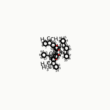 CC1(C)c2ccccc2-c2cc(-c3nc(-c4ccc5c(c4)-c4ccccc4C5(C)C)nc(-n4c5ccccc5c5ccc6c7ccccc7n(-c7cccc(-c8cccc9nc(-c%10ccccc%10)oc89)c7)c6c54)n3)ccc21